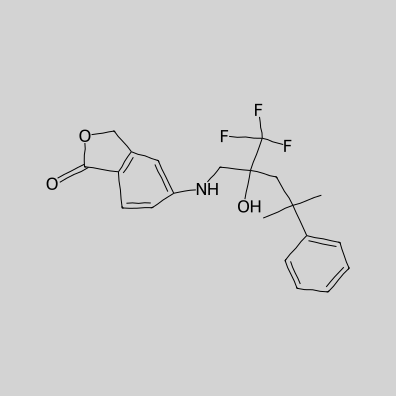 CC(C)(CC(O)(CNc1ccc2c(c1)COC2=O)C(F)(F)F)c1ccccc1